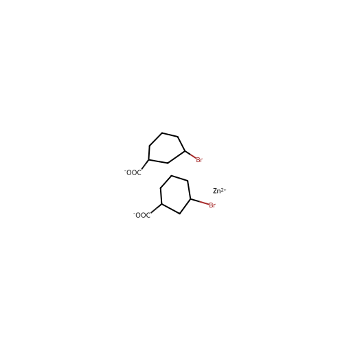 O=C([O-])C1CCCC(Br)C1.O=C([O-])C1CCCC(Br)C1.[Zn+2]